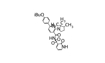 CC(C)COc1ccc(-c2ccc(C(=O)NS(=O)(=O)c3ccc[nH]c3=O)c(N3CCC(C)C3(C)C)n2)cc1